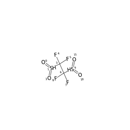 O=[SH](=O)C(F)(F)C(F)(F)[SH](=O)=O